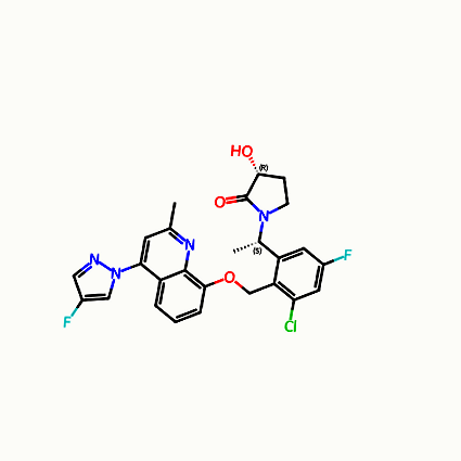 Cc1cc(-n2cc(F)cn2)c2cccc(OCc3c(Cl)cc(F)cc3[C@H](C)N3CC[C@@H](O)C3=O)c2n1